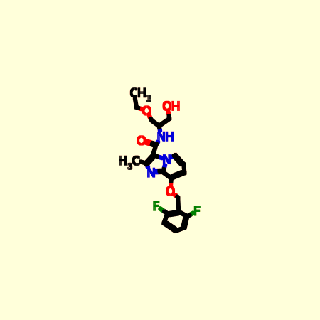 CCOCC(CO)NC(=O)c1c(C)nc2c(OCc3c(F)cccc3F)cccn12